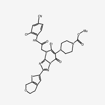 CCc1c(N2CCN(C(=O)OC(C)(C)C)CC2)c(=O)n2nc(-c3cc4c(s3)COCC4)nc2n1CC(=O)Nc1ccc(C#N)cc1Cl